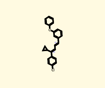 Clc1ccc(/C(=C/C=C/c2cccc(Oc3ccccc3)c2)C2CC2)cc1